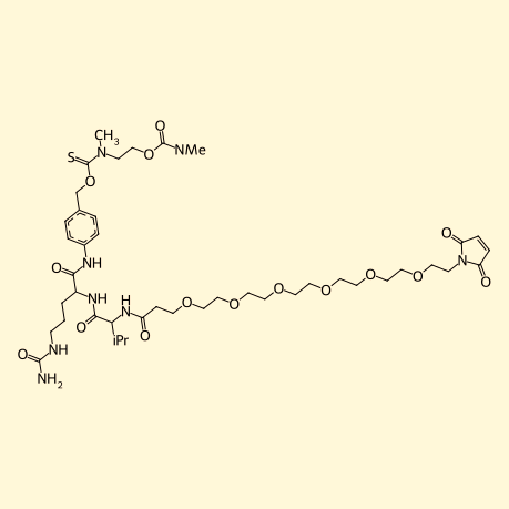 CNC(=O)OCCN(C)C(=S)OCc1ccc(NC(=O)C(CCCNC(N)=O)NC(=O)C(NC(=O)CCOCCOCCOCCOCCOCCOCCN2C(=O)C=CC2=O)C(C)C)cc1